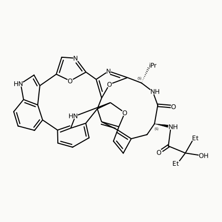 CCC(O)(CC)C(=O)N[C@H]1Cc2ccc3c(c2)C24c5cccc(c5NC2O3)-c2cccc3[nH]cc(c23)-c2cnc(o2)-c2nc(oc24)[C@H](C(C)C)NC1=O